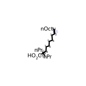 CCCCCCCC/C=C\CCCCCCC(CCC)(CCC)C(=O)O